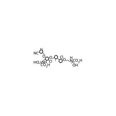 Cc1c(COc2cc(OCc3cncc(C#N)c3)c(CN[C@](C)(CO)C(=O)O)cc2Cl)cccc1-c1cccc(OCCCN[C@](C)(CO)C(=O)O)c1Cl